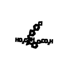 O=C(O)COc1cccc(C2CC2(NSc2ccc(-c3ccc(Cl)cc3)cc2)C(=O)O)c1